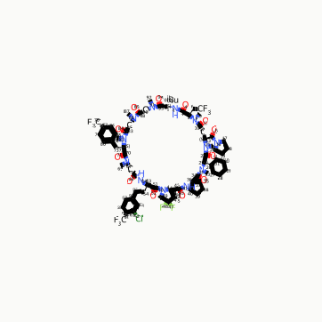 CC[C@H](C)[C@@H]1NC(=O)[C@H](CC(F)(F)F)N(C)C(=O)C[C@@H](C(=O)N2CCCC2)N(C)C(=O)[C@H](C2CCCCC2)N(C)C(=O)C2(CCCC2)NC(=O)[C@@H]2CC(F)(F)CN2C(=O)[C@H](CCc2ccc(C(F)(F)F)c(Cl)c2)NC(=O)CN(C)C(=O)[C@H](Cc2ccc(C(F)(F)F)cc2)N(C)C(=O)CN(C)C(=O)CN(C)C1=O